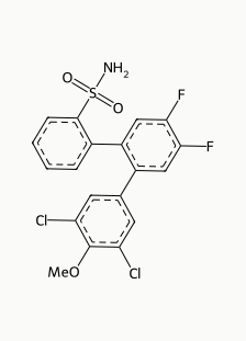 COc1c(Cl)cc(-c2cc(F)c(F)cc2-c2ccccc2S(N)(=O)=O)cc1Cl